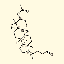 CC(=O)O[C@H]1CC[C@]23C[C@]24CC[C@]2(C)[C@@H]([C@H](C)CCC=O)CC[C@@]2(C)[C@@H]4CC[C@H]3C1(C)C